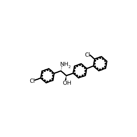 N[C@@H](c1ccc(Cl)cc1)[C@H](O)c1ccc(-c2ccccc2Cl)cc1